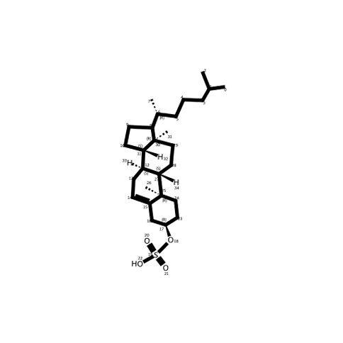 CC(C)CCC[C@@H](C)C1CC[C@H]2[C@@H]3CC=C4C[C@H](OS(=O)(=O)O)CC[C@]4(C)[C@H]3CC[C@]12C